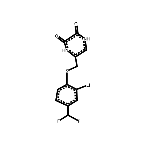 O=c1[nH]cc(CSc2ccc(C(F)F)cc2Cl)[nH]c1=O